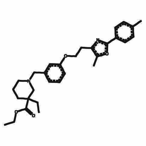 CCOC(=O)C1(CC)CCCN(Cc2cccc(OCCc3nc(-c4ccc(C)cc4)oc3C)c2)C1